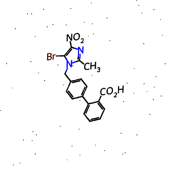 Cc1nc([N+](=O)[O-])c(Br)n1Cc1ccc(-c2ccccc2C(=O)O)cc1